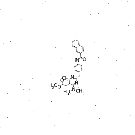 COC(=O)Cc1c(Cl)nc(Cc2ccc(NC(=O)c3ccc4ccccc4c3)cc2)nc1N(C)C